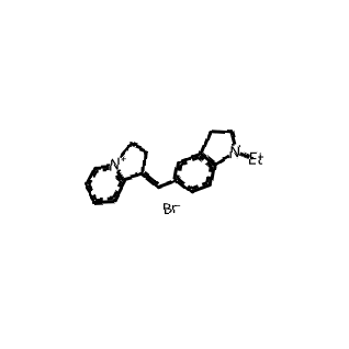 CCN1CCc2cc(C=C3CC[n+]4ccccc43)ccc21.[Br-]